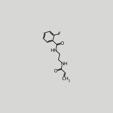 C=CC(=O)NCCNC(=O)c1cc[c]cc1F